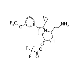 NCCC1CNC(=O)c2cc(-c3cccc(OC(F)(F)F)c3)c(C3CC3)n21.O=C(O)C(F)(F)F